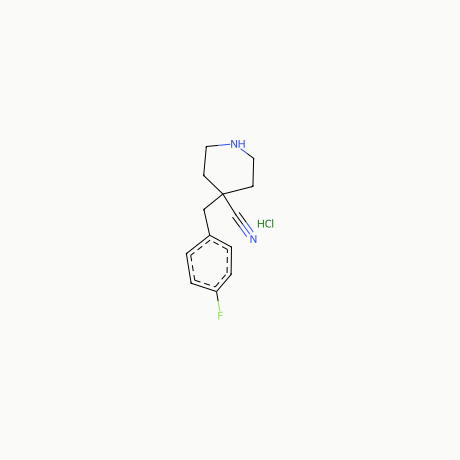 Cl.N#CC1(Cc2ccc(F)cc2)CCNCC1